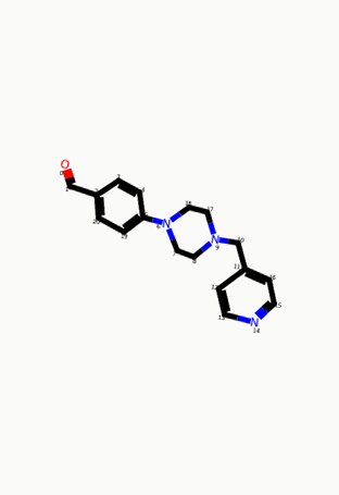 O=Cc1ccc(N2CCN(Cc3ccncc3)CC2)cc1